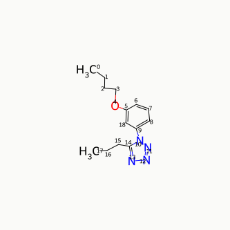 CCCCOc1cccc(-n2nnnc2CCC)c1